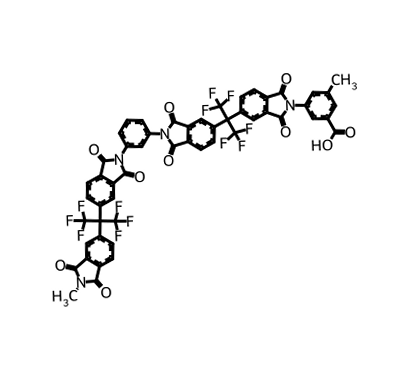 Cc1cc(C(=O)O)cc(N2C(=O)c3ccc(C(c4ccc5c(c4)C(=O)N(c4cccc(N6C(=O)c7ccc(C(c8ccc9c(c8)C(=O)N(C)C9=O)(C(F)(F)F)C(F)(F)F)cc7C6=O)c4)C5=O)(C(F)(F)F)C(F)(F)F)cc3C2=O)c1